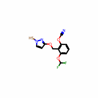 N#COc1cccc(OC(F)F)c1COc1ccn(S)n1